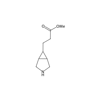 COC(=O)CCC1C2CNCC12